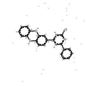 Clc1nc(-c2ccccc2)nc(-c2ccc3c(c2)Oc2ccccc2O3)n1